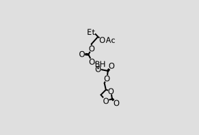 CCC(COC(=O)OBOC(=O)OCC1COC(=O)O1)OC(C)=O